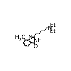 CCN(CC)CCCCCc1nc2c(C)cccc2c(=O)[nH]1